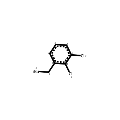 CCC(C)Cc1cccc(Cl)c1Cl